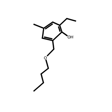 CCCCOCc1cc(C)cc(CC)c1O